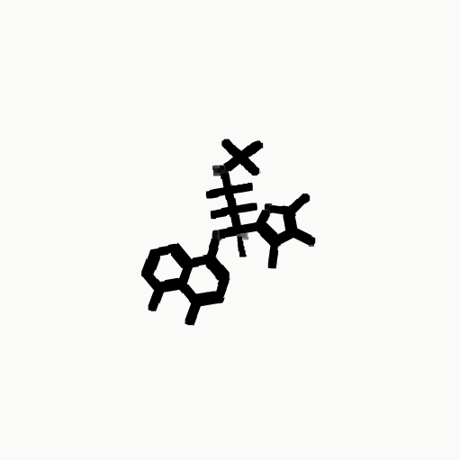 Cc1sc([C@@](C)(Oc2ccc(C)c3c(C)cccc23)C(C)(C)C(C)(C)NC(C)(C)C)c(C)c1C